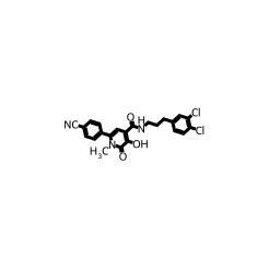 Cn1c(-c2ccc(C#N)cc2)cc(C(=O)NCCCc2ccc(Cl)c(Cl)c2)c(O)c1=O